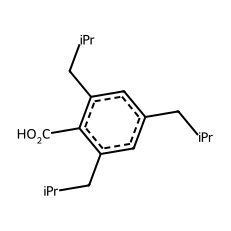 CC(C)Cc1cc(CC(C)C)c(C(=O)O)c(CC(C)C)c1